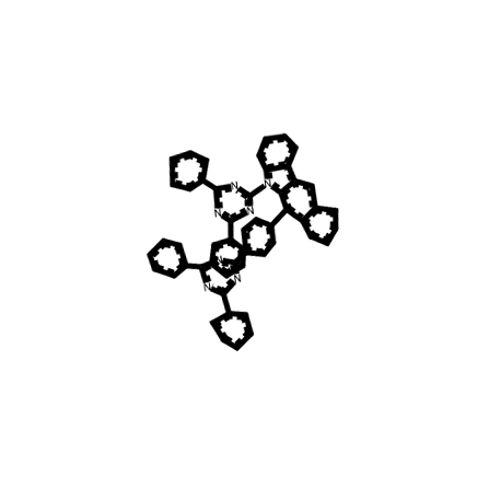 c1ccc(-c2nc(-c3ccccc3)nc(-c3ccc(-c4c5ccccc5cc5c6ccccc6n(-c6nc(-c7ccccc7)nc(-c7ccccc7)n6)c45)cc3)n2)cc1